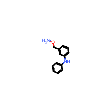 NOCc1cccc(Nc2ccccc2)c1